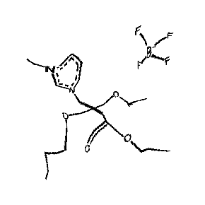 CCCOC(OCC)(C(=O)OCC)n1cc[n+](C)c1.F[B-](F)(F)F